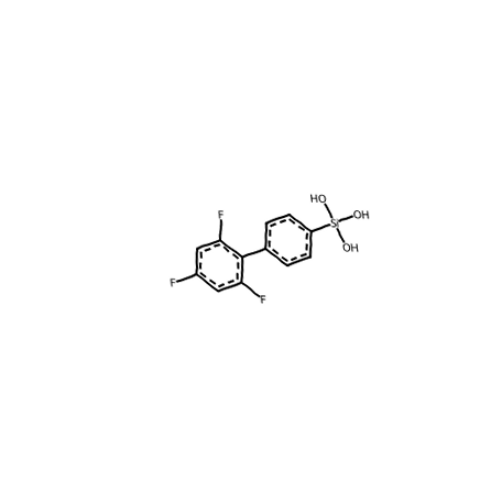 O[Si](O)(O)c1ccc(-c2c(F)cc(F)cc2F)cc1